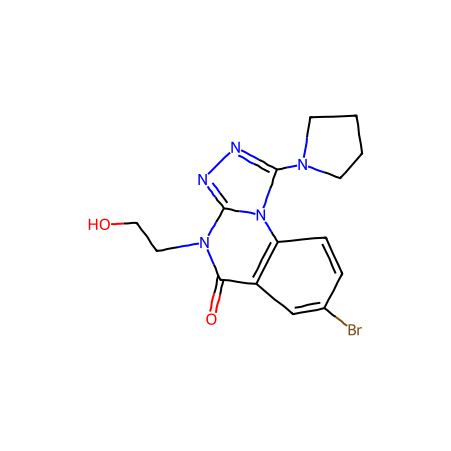 O=c1c2cc(Br)ccc2n2c(N3CCCC3)nnc2n1CCO